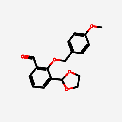 COc1ccc(COc2c(C=O)cccc2C2OCCO2)cc1